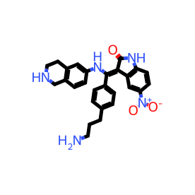 NCCCc1ccc(/C(Nc2ccc3c(c2)CCNC3)=C2/C(=O)Nc3ccc([N+](=O)[O-])cc32)cc1